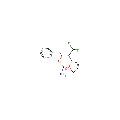 NC(=O)OC(Cc1ccccc1)C(C(F)F)C1C=CCO1